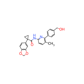 Cc1ccc(NC(=O)C2(c3ccc4c(c3)OCO4)CC2)nc1-c1ccc(CO)cc1